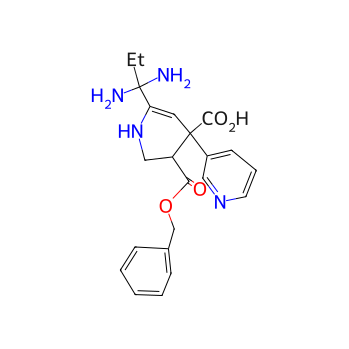 CCC(N)(N)C1=CC(C(=O)O)(c2cccnc2)C(C(=O)OCc2ccccc2)CN1